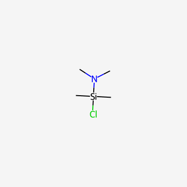 CN(C)[Si](C)(C)Cl